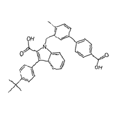 Cc1ccc(-c2ccc(C(=O)O)cc2)cc1Cn1c(C(=O)O)c(-c2ccc(C(C)(C)C)cc2)c2ccccc21